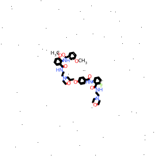 COc1cccc(C(=O)Nc2c(OC)cccc2C(=O)NCCN2CCOC(COc3ccc(C(=O)Nc4cccc(F)c4C(=O)NCCN4CCOCC4)cc3)C2)c1